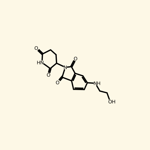 O=C1CCC(N2C(=O)c3ccc(NCCO)cc3C2=O)C(=O)N1